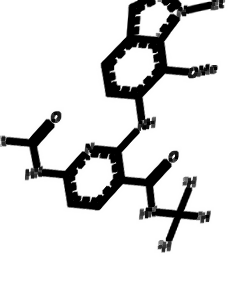 [2H]C([2H])([2H])NC(=O)c1ccc(NC(=O)CC)nc1Nc1ccc2cnn(CC)c2c1OC